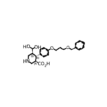 O=C(O)[C@H]1CNC[C@@H](C(O)O)[C@@H]1c1ccc(OCCCOCc2ccccc2)cc1